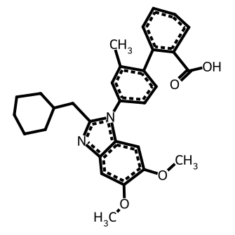 COc1cc2nc(CC3CCCCC3)n(-c3ccc(-c4ccccc4C(=O)O)c(C)c3)c2cc1OC